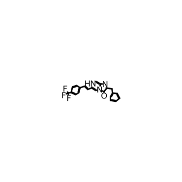 O=c1c(Cc2ccccc2)nc2c[nH]c(C=Cc3ccc(C(F)(F)F)cc3)cn1-2